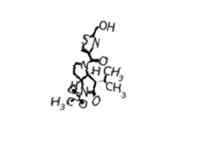 CC(C)[C@@H]1C(=O)N(S(C)(=O)=O)[C@@H]2CCN(C(=O)c3csc(CO)n3)[C@H]21